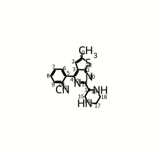 Cc1cc2c(-c3ccccc3C#N)nc(C3CNCCN3)nc2s1